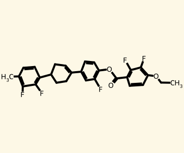 CCOc1ccc(C(=O)Oc2ccc(C3=CCC(c4ccc(C)c(F)c4F)CC3)cc2F)c(F)c1F